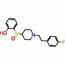 [O-][S+](c1ccccc1O)C1CCN(CCc2ccc(F)cc2)CC1